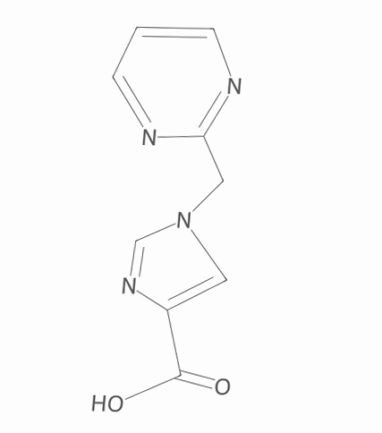 O=C(O)c1cn(Cc2ncccn2)cn1